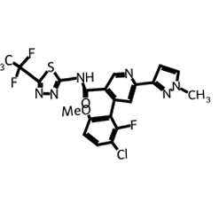 COc1ccc(Cl)c(F)c1-c1cc(-c2ccn(C)n2)ncc1C(=O)Nc1nnc(C(C)(F)F)s1